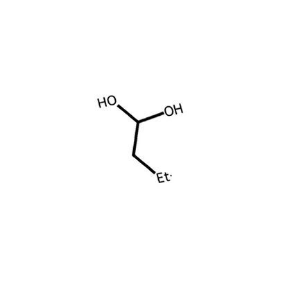 C[CH]CC(O)O